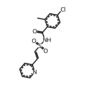 Cc1cc(Cl)ccc1C(=O)NS(=O)(=O)/C=C/c1ccccn1